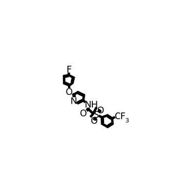 CC(C)(C(=O)Nc1ccc(Oc2ccc(F)cc2)nc1)S(=O)(=O)c1cccc(C(F)(F)F)c1